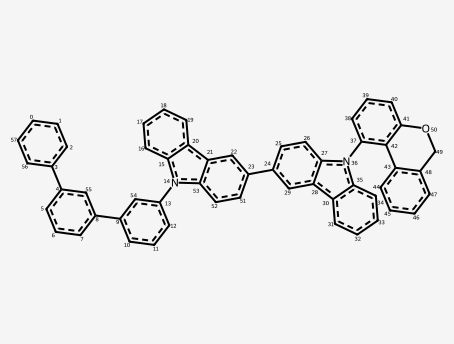 c1ccc(-c2cccc(-c3cccc(-n4c5ccccc5c5cc(-c6ccc7c(c6)c6ccccc6n7-c6cccc7c6-c6ccccc6CO7)ccc54)c3)c2)cc1